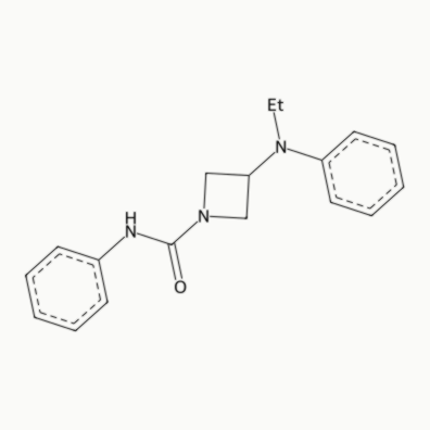 CCN(c1ccccc1)C1CN(C(=O)Nc2ccccc2)C1